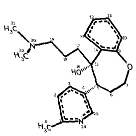 Cc1ccc([C@H]2CCOc3ccccc3[C@]2(O)CCCN(C)C)cn1